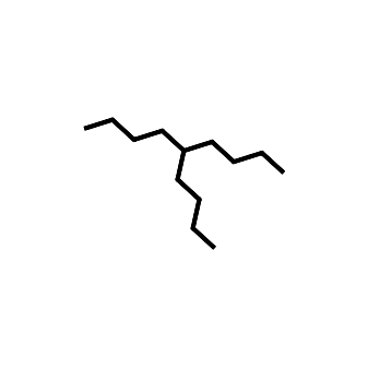 CCCCC(CCCC)CCCC